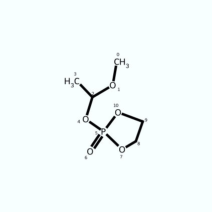 COC(C)OP1(=O)OCCO1